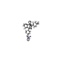 C/[N+]([O-])=C\c1ccc(-c2nn(-c3ccc(F)cc3)c(=O)c3ccccc23)cc1